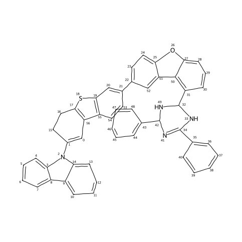 C1=C(n2c3ccccc3c3ccccc32)CCc2sc3cc(-c4ccc5oc6cccc(C7NC(c8ccccc8)=NC(c8ccccc8)N7)c6c5c4)ccc3c21